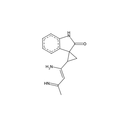 CC(=N)C=C(N)C1CC12C(=O)Nc1ccccc12